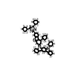 c1ccc(-c2nc(-c3ccccc3)nc(-c3ccc4c(c3)oc3cc(-n5c6ccccc6c6cc7c8ccccc8n(-c8ccccc8)c7cc65)cc(-c5ccccc5)c34)n2)cc1